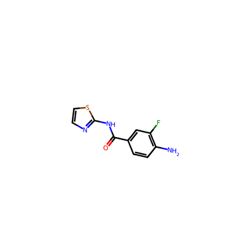 Nc1ccc(C(=O)Nc2nccs2)cc1F